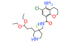 CCOC(CCC1CNCCC1(F)CNC(=O)c1cc(Cl)c(N)c2c1OCCC2)OCC